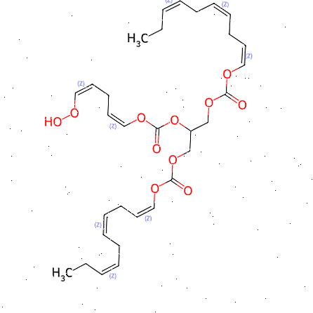 CC/C=C\C/C=C\C/C=C\OC(=O)OCC(COC(=O)O/C=C\C/C=C\C/C=C\CC)OC(=O)O/C=C\C/C=C\OO